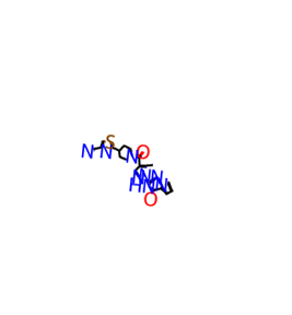 Cc1c(C(=O)N2CCC(c3nc(C#N)cs3)CC2)cnn1-c1nn2cccc2c(=O)[nH]1